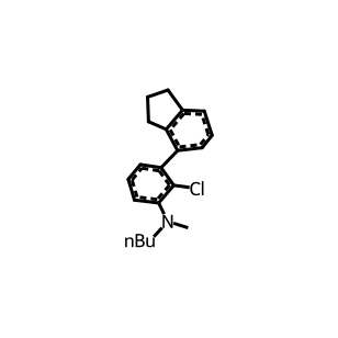 CCCCN(C)c1cccc(-c2cccc3c2CCC3)c1Cl